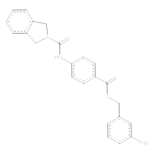 Nc1cccc(CNC(=O)c2ccc(NC(=O)N3Cc4ccccc4C3)cc2)c1